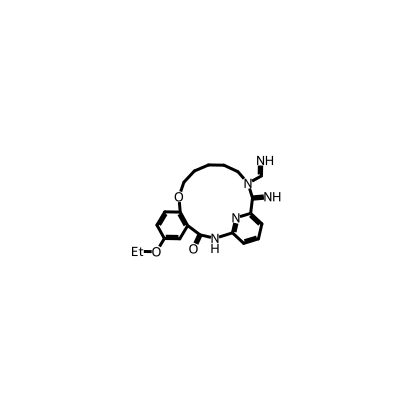 CCOc1ccc2c(c1)C(=O)Nc1cccc(n1)C(=N)N(C=N)CCCCCO2